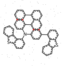 c1ccc(-c2cccc3cccc(-c4ccccc4N(c4ccc(-c5cccc6sc7ccccc7c56)cc4)c4cccc5sc6ccccc6c45)c23)cc1